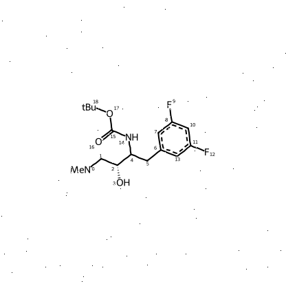 CNC[C@@H](O)C(Cc1cc(F)cc(F)c1)NC(=O)OC(C)(C)C